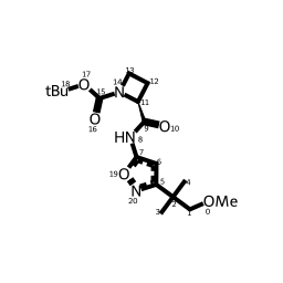 COCC(C)(C)c1cc(NC(=O)[C@@H]2CCN2C(=O)OC(C)(C)C)on1